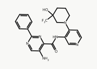 Nc1cnc(-c2ccccc2)nc1C(=O)Nc1cnccc1N1CCCC(O)(C(F)(F)F)C1